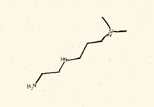 C[SiH](C)CCCNCCN